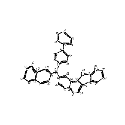 c1ccc(-c2ccc(N(c3ccc4ccccc4c3)c3ccc4ccc5c6cccnc6oc5c4c3)cc2)cc1